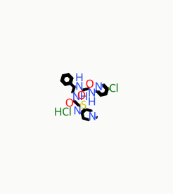 CN1CCc2nc(C(=O)NCC(NC(=O)C(=O)Nc3ccc(Cl)cn3)c3ccccc3)sc2C1.Cl